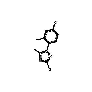 Cc1cc(Cl)ccc1-c1oc(Cl)nc1C